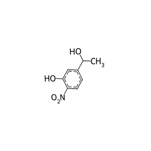 CC(O)c1ccc([N+](=O)[O-])c(O)c1